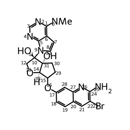 CNc1ncnc2c1ccn2[C@@]1(O)CO[C@@H]2C(Oc3ccc4cc(Br)c(N)nc4c3)CC[C@@]21O